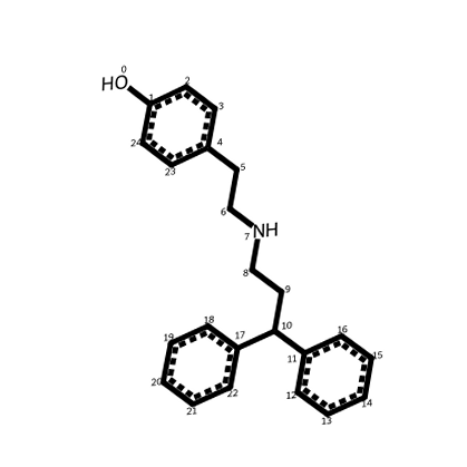 Oc1ccc(CCNCCC(c2ccccc2)c2ccccc2)cc1